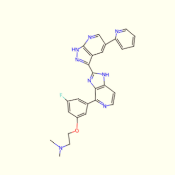 CN(C)CCOc1cc(F)cc(-c2nccc3[nH]c(-c4n[nH]c5ncc(-c6ccccn6)cc45)nc23)c1